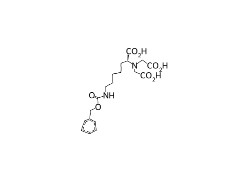 O=C(O)CN(CC(=O)O)[C@@H](CCCCCNC(=O)OCc1ccccc1)C(=O)O